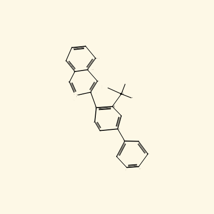 CCC(C)(CC)c1cc(-c2ccccc2)ccc1-c1cc2ccccc2cn1